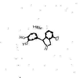 Br.Oc1ccc(C2CNCc3c(Cl)cccc32)cc1O